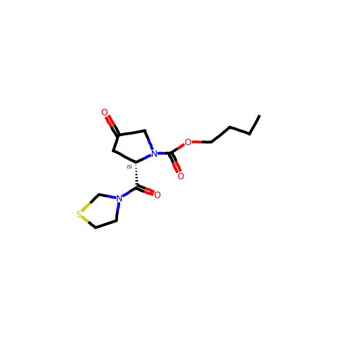 CCCCOC(=O)N1CC(=O)C[C@H]1C(=O)N1CCSC1